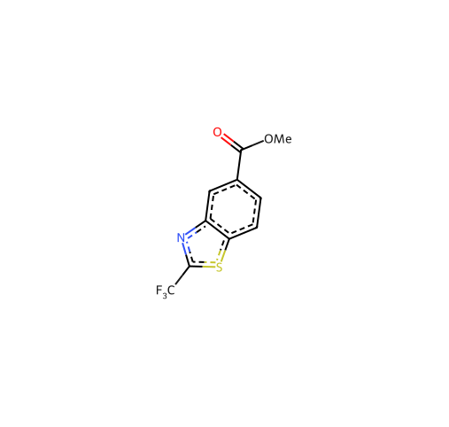 COC(=O)c1ccc2sc(C(F)(F)F)nc2c1